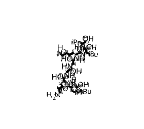 CCC(C)C(NC(O)[C@H](CCCCN)NC(O)CNC(O)CNC(O)[C@@H](CCCCN)NC(O)[C@H](CC(C)C)NC(O)OC(C)(C)C)C(O)NC(CO)C(C)C